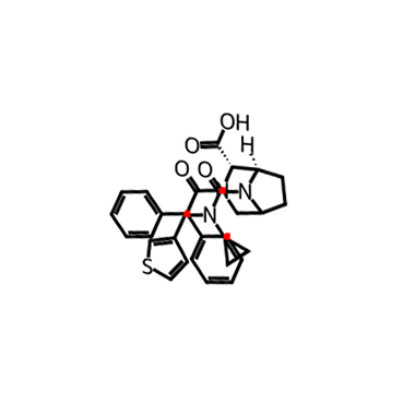 O=C(O)[C@@H]1[C@H]2CCC(CN1C(=O)C(c1ccccc1)c1ccccc1)N2C(=O)N(Cc1ccsc1)C1CC1